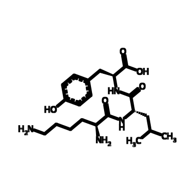 CC(C)C[C@H](NC(=O)[C@@H](N)CCCCN)C(=O)N[C@@H](Cc1ccc(O)cc1)C(=O)O